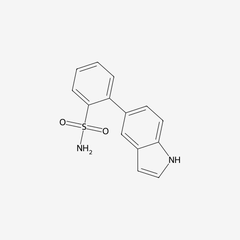 NS(=O)(=O)c1ccccc1-c1ccc2[nH]ccc2c1